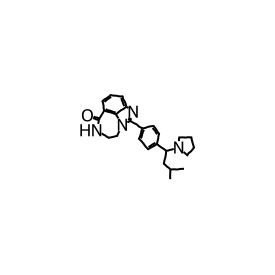 CC(C)CC(c1ccc(-c2nc3cccc4c3n2CCNC4=O)cc1)N1CCCC1